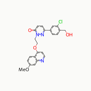 COc1ccc2c(OCCn3nc(-c4ccc(CO)c(Cl)c4)ccc3=O)ccnc2c1